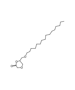 CCCCCCCCCCCCCCCCOCC1COCC(=O)O1